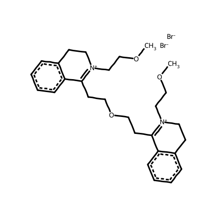 COCC[N+]1=C(CCOCCC2=[N+](CCOC)CCc3ccccc32)c2ccccc2CC1.[Br-].[Br-]